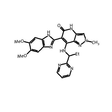 CCC(Nc1c(-c2nc3cc(OC)c(OC)cc3[nH]2)c(=O)[nH]c2cn(C)nc12)c1ncccn1